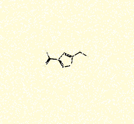 Cl.N=C(N)c1csc(CN)c1